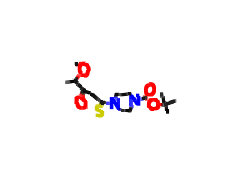 COC(C)C(=O)CC(=S)N1CCN(C(=O)OC(C)(C)C)CC1